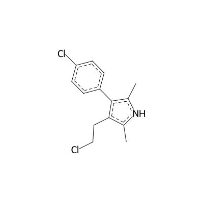 Cc1[nH]c(C)c(-c2ccc(Cl)cc2)c1CCCl